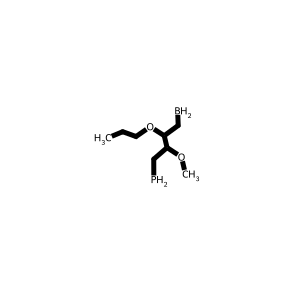 BCC(OCCC)C(CP)OC